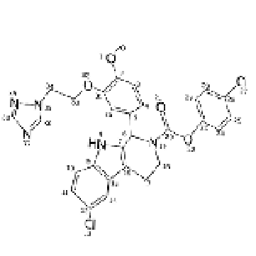 COc1ccc(C2c3[nH]c4ccc(Cl)cc4c3CCN2C(=O)Oc2ccc(Cl)cc2)cc1OCCn1cncn1